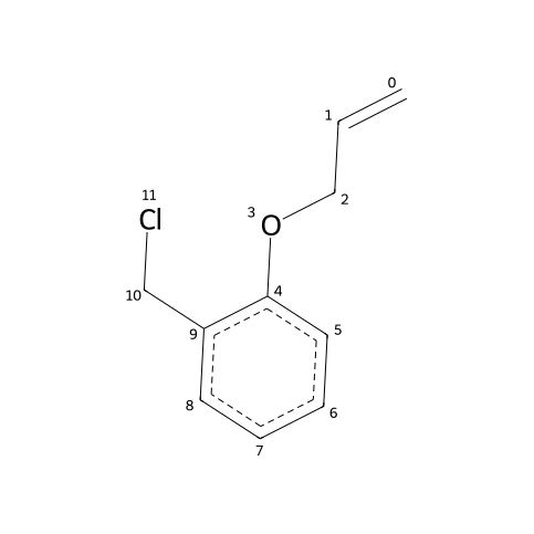 C=CCOc1ccccc1CCl